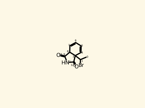 CC(Br)C12C=CC=CC1C(=O)NC2=O